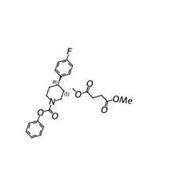 COC(=O)CCC(=O)OC[C@@H]1CN(C(=O)Oc2ccccc2)CC[C@H]1c1ccc(F)cc1